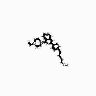 CCN1CCN(c2nc(-c3ccc(CCCCO)nc3)cc3ccccc23)CC1